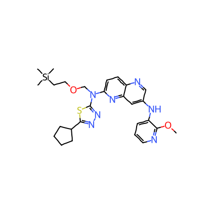 COc1ncccc1Nc1cnc2ccc(N(COCC[Si](C)(C)C)c3nnc(C4CCCC4)s3)nc2c1